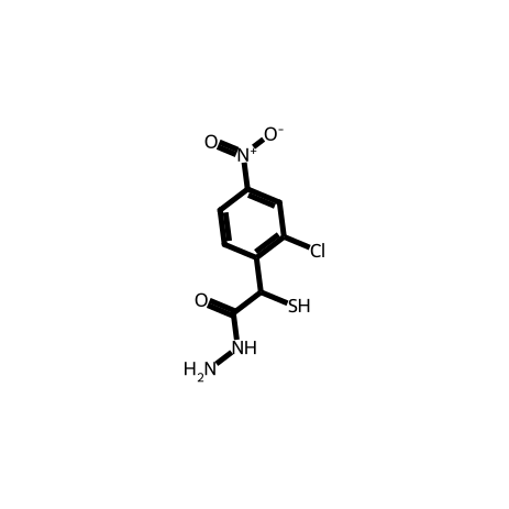 NNC(=O)C(S)c1ccc([N+](=O)[O-])cc1Cl